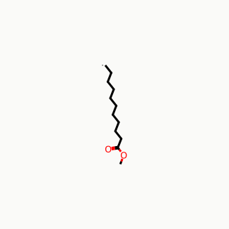 [CH2]CCCCCCCCCC(=O)OC